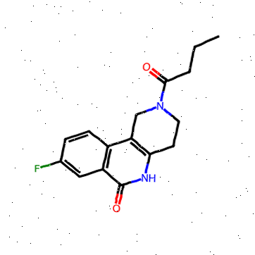 CCCC(=O)N1CCc2[nH]c(=O)c3cc(F)ccc3c2C1